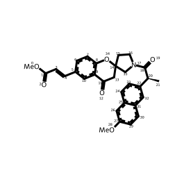 COC(=O)C=Cc1ccc2c(c1)C(=O)CC1(CCN(C(=O)[C@@H](C)c3ccc4cc(OC)ccc4c3)C1)O2